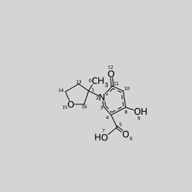 CC1(n2cc(C(=O)O)c(O)cc2=O)CCOC1